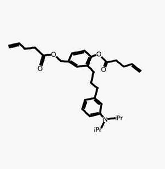 C=CCCC(=O)OCc1ccc(OC(=O)CCC=C)c(CCCc2cccc(N(C(C)C)C(C)C)c2)c1